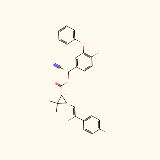 CC1(C)[C@H](/C=C(\Cl)c2ccc(Cl)cc2)[C@H]1C(=O)O[C@@H](C#N)c1ccc(F)c(Oc2ccccc2)c1